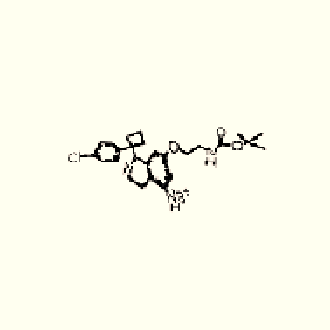 CC(C)(C)OC(=O)NCCOc1ccc2c(c1)C(C1(c3ccc(Cl)cc3)CCC1)=NCC2.[H-].[Na+]